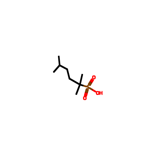 CC(C)CCC(C)(C)S(=O)(=O)O